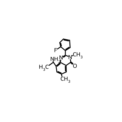 Cc1cc(C(C)N)c2nc(-c3ccccc3F)n(C)c(=O)c2c1